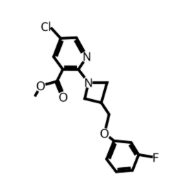 COC(=O)c1cc(Cl)cnc1N1CC(COc2cccc(F)c2)C1